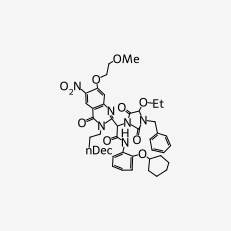 CCCCCCCCCCCCn1c(C(C(=O)Nc2ccccc2OC2CCCCC2)N2C(=O)C(OCC)N(Cc3ccccc3)C2=O)nc2cc(OCCOC)c([N+](=O)[O-])cc2c1=O